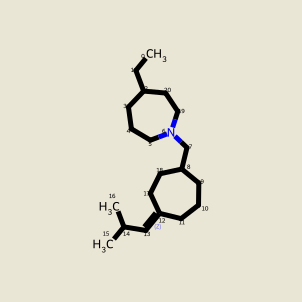 CCC1CCCN(CC2CCC/C(=C/C(C)C)CC2)CC1